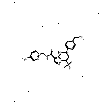 CCc1ccc([C@H]2C[C@@H](C(F)(F)F)n3ncc(C(=O)NCc4ccc(C)cn4)c3N2)cc1